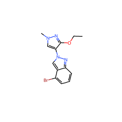 CCOc1nn(C)cc1-n1cc2c(Br)cccc2n1